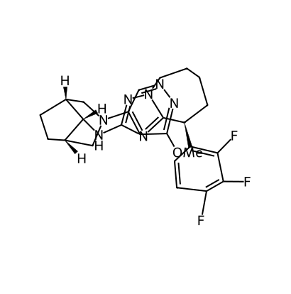 COc1cc(N2C[C@H]3CC[C@@H](C2)[C@H]3Nc2nc3n(n2)CCCC[C@H]3c2ccc(F)c(F)c2F)cnn1